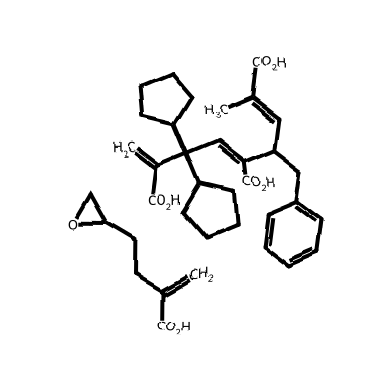 C=C(C(=O)O)C(C=C(C(=O)O)C(C=C(C)C(=O)O)Cc1ccccc1)(C1CCCC1)C1CCCC1.C=C(CCC1CO1)C(=O)O